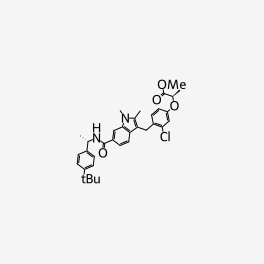 COC(=O)[C@@H](C)Oc1ccc(Cc2c(C)n(C)c3cc(C(=O)N[C@@H](C)c4ccc(C(C)(C)C)cc4)ccc23)c(Cl)c1